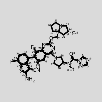 CCN(C(=O)n1cncn1)C1CCN(c2nc(OC[C@@]34CCCN3C[C@H](F)C4)nc3c(F)c(-c4ccc(F)c5sc(N)c(C#N)c45)c(Cl)cc23)C1